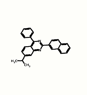 CC(C)c1ccc2c(-c3ccccc3)nc(-c3ccc4ccccc4c3)nc2c1